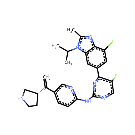 C=C(c1ccc(Nc2ncc(F)c(-c3cc(F)c4nc(C)n(C(C)C)c4c3)n2)nc1)[C@@H]1CCNC1